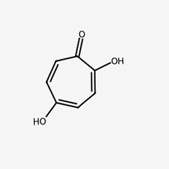 O=c1ccc(O)ccc1O